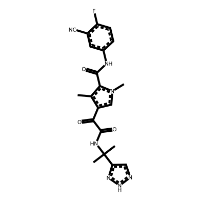 Cc1c(C(=O)C(=O)NC(C)(C)c2cn[nH]n2)cn(C)c1C(=O)Nc1ccc(F)c(C#N)c1